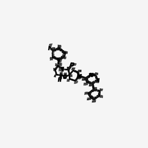 O=C1N2[C@@H](CC[C@H]2c2cccc(F)c2)OC12CCN(c1cc(-c3ccccc3)ncn1)CC2